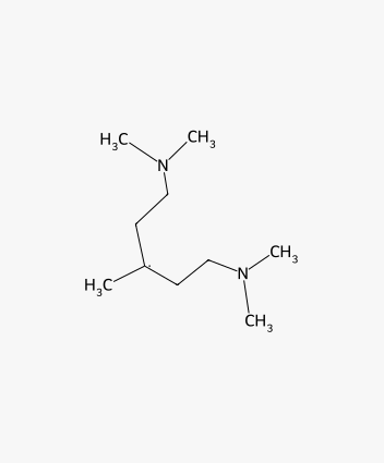 C[C](CCN(C)C)CCN(C)C